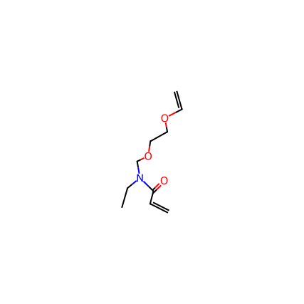 C=COCCOCN(CC)C(=O)C=C